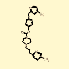 Cc1ccc(CCCN2CCN(C(=O)Oc3ccc(Cc4cc(C)ccn4)cc3)CC2)nc1